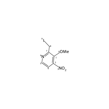 COc1c([N+](=O)[O-])ccnc1CI